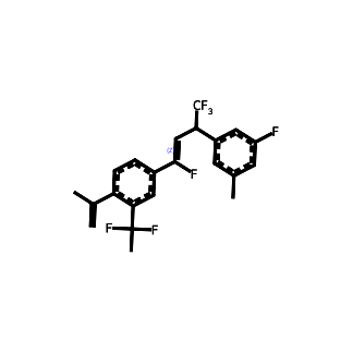 C=C(C)c1ccc(/C(F)=C/C(c2cc(C)cc(F)c2)C(F)(F)F)cc1C(C)(F)F